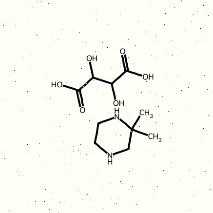 CC1(C)CNCCN1.O=C(O)C(O)C(O)C(=O)O